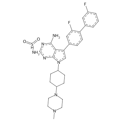 CN1CCN(C2CCC(n3cc(-c4ccc(-c5cccc(F)c5)c(F)c4)c4c(N)ncnc43)CC2)CC1.N[SH](=O)=O